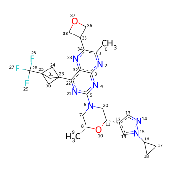 Cc1nc2nc(N3C[C@@H](C)O[C@@H](c4cnn(C5CC5)c4)C3)nc(C34CC(C(F)(F)F)(C3)C4)c2nc1C1COC1